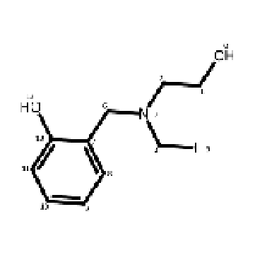 OCCN(CI)Cc1ccccc1O